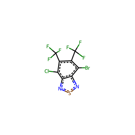 FC(F)(F)c1c(C(F)(F)F)c(Br)c2nsnc2c1Cl